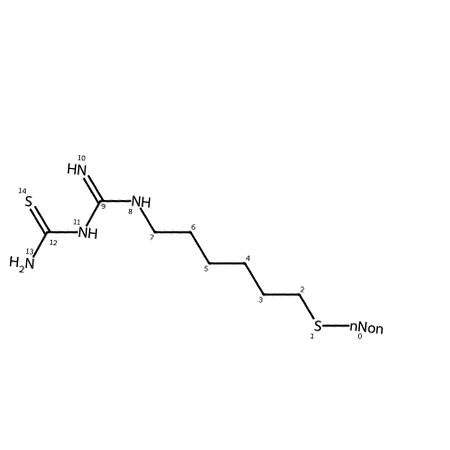 CCCCCCCCCSCCCCCCNC(=N)NC(N)=S